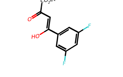 CCOC(=O)C(=O)/C=C(\O)c1cc(F)cc(F)c1